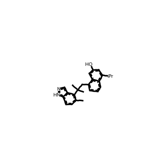 Cc1ccc2[nH]ncc2c1C(C)(C)Cc1cccc2c(C(C)C)cc(O)cc12